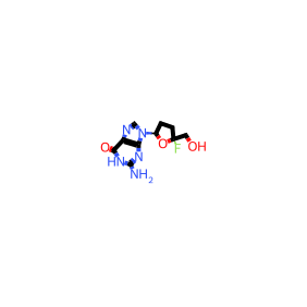 Nc1nc2c(ncn2[C@H]2CC[C@@](F)(CO)O2)c(=O)[nH]1